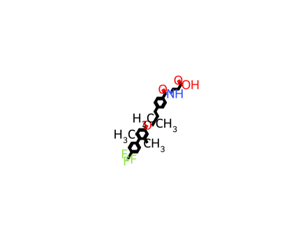 Cc1cc(OCC(C)(C)CCc2ccc(C(=O)NCCC(=O)O)cc2)cc(C)c1-c1ccc(C(F)(F)F)cc1